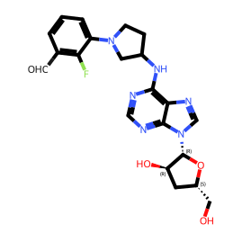 O=Cc1cccc(N2CCC(Nc3ncnc4c3ncn4[C@@H]3O[C@H](CO)C[C@H]3O)C2)c1F